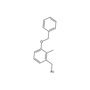 CC(=O)Cc1cccc(OCc2ccccc2)c1C